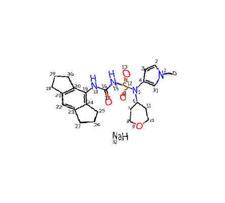 Cn1ccc(N(C2CCOCC2)S(=O)(=O)NC(=O)Nc2c3c(cc4c2CCC4)CCC3)c1.[NaH]